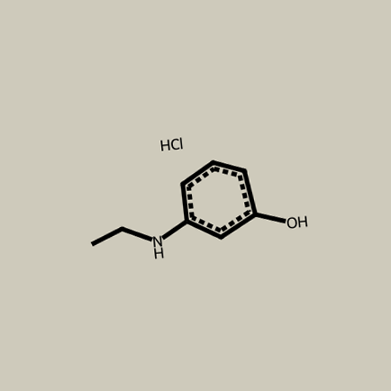 CCNc1cccc(O)c1.Cl